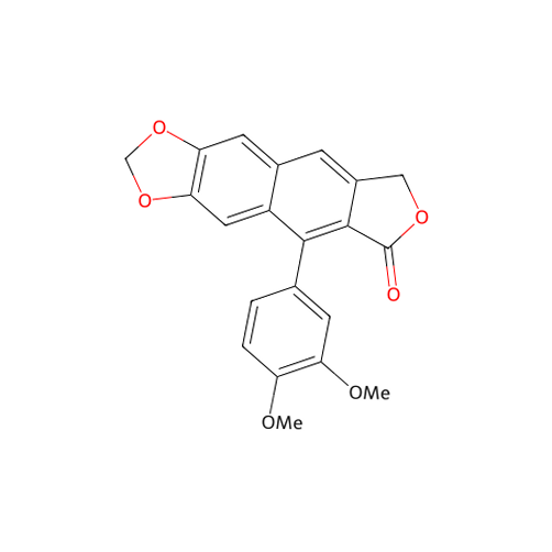 COc1ccc(-c2c3c(cc4cc5c(cc24)OCO5)COC3=O)cc1OC